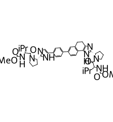 COC(=O)NC(C(=O)N1CCC[C@H]1c1ncc(-c2ccc(-c3ccc4c(c3)CCc3nc([C@@H]5CCCN5C(=O)[C@@H](NC(=O)OC)C(C)C)[nH]c3-4)cc2)[nH]1)C(C)C